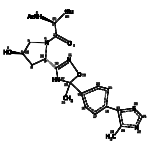 CC(=O)N[C@H](C(=O)N1C[C@H](O)C[C@H]1C1=NOC(C)(c2ccc(-c3scnc3C)cc2)N1)C(C)(C)C